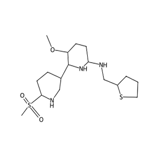 COC1CCC(NCC2CCCS2)NC1C1CCC(S(C)(=O)=O)NC1